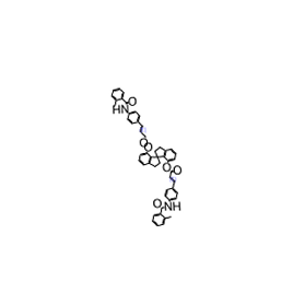 Cc1ccccc1C(=O)Nc1ccc(/C=C/COOc2cccc3c2C2(CC3)CCc3cccc(OC(=O)/C=C/c4ccc(NC(=O)c5ccccc5C)cc4)c32)cc1